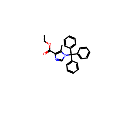 CCOC(=O)c1ncn(C(c2ccccc2)(c2ccccc2)c2ccccc2)c1C